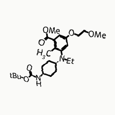 CCN(c1cc(OCCOC)cc(C(=O)OC)c1C)[C@H]1CC[C@H](NC(=O)OC(C)(C)C)CC1